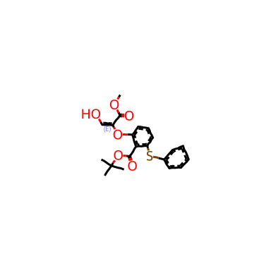 COC(=O)/C(=C\O)Oc1cccc(Sc2ccccc2)c1C(=O)OC(C)(C)C